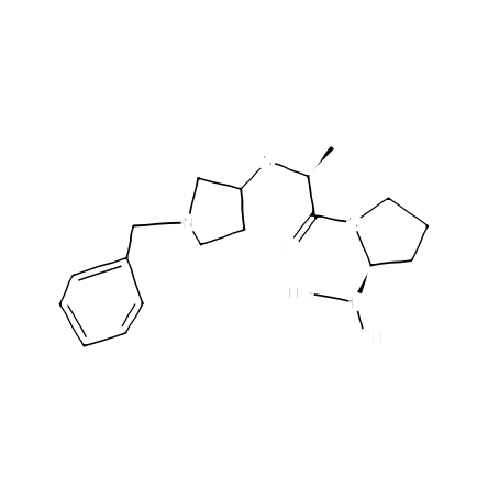 C[C@H](NC1CCN(Cc2ccccc2)C1)C(=O)N1CCC[C@H]1B(O)O